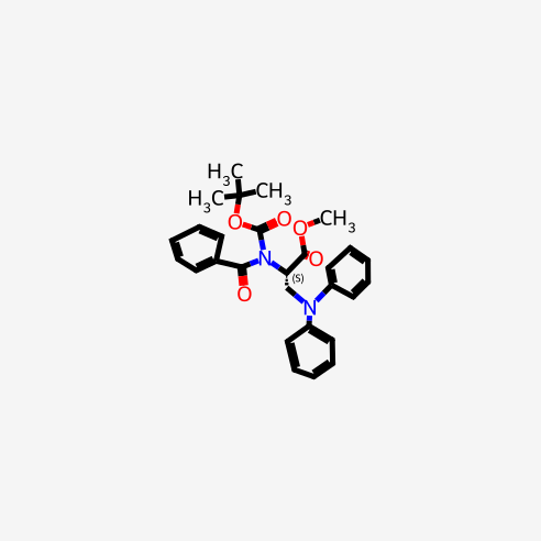 COC(=O)[C@H](CN(c1ccccc1)c1ccccc1)N(C(=O)OC(C)(C)C)C(=O)c1ccccc1